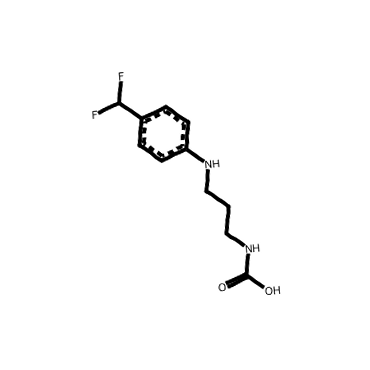 O=C(O)NCCCNc1ccc(C(F)F)cc1